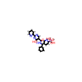 O=C(NC(c1ccccc1)c1ccc(P(=O)(O)O)nc1)c1cnc(-c2ccccn2)nc1O